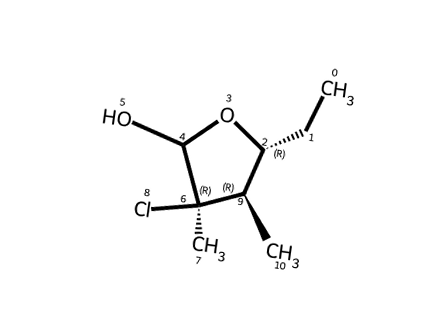 CC[C@H]1OC(O)[C@](C)(Cl)[C@@H]1C